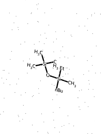 CCCC[Si](C)(CC)O[Si](C)(C)C